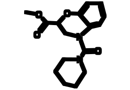 COC(=O)C1CN(C(=O)N2CCCCC2)c2ccccc2O1